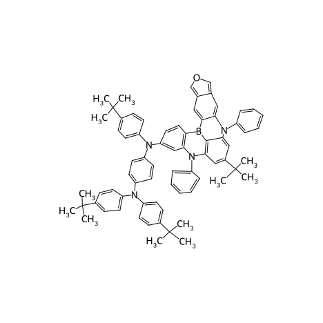 CC(C)(C)c1ccc(N(c2ccc(N(c3ccc(C(C)(C)C)cc3)c3ccc4c(c3)N(c3ccccc3)c3cc(C(C)(C)C)cc5c3B4c3cc4cocc4cc3N5c3ccccc3)cc2)c2ccc(C(C)(C)C)cc2)cc1